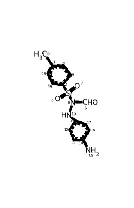 Cc1ccc(S(=O)(=O)N(C=O)Nc2ccc(N)cc2)cc1